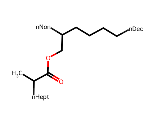 CCCCCCCCCCCCCCC(CCCCCCCCC)COC(=O)C(C)CCCCCCC